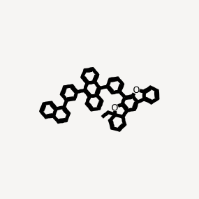 CCC12C=CC=CC1c1cc3c(oc4ccccc43)c(-c3cccc(-c4c5ccccc5c(-c5cccc(-c6cccc7ccccc67)c5)c5ccccc45)c3)c1O2